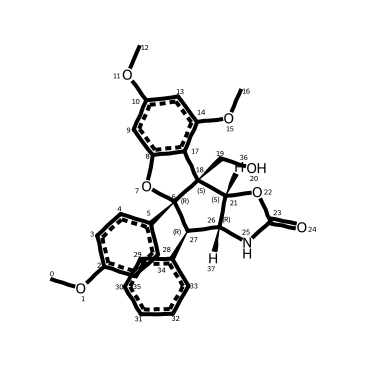 COc1ccc([C@@]23Oc4cc(OC)cc(OC)c4[C@]2(CO)[C@@H]2OC(=O)N[C@@H]2[C@H]3c2ccccc2)cc1